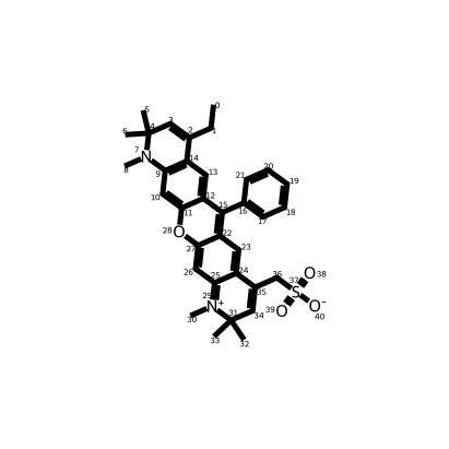 CCC1=CC(C)(C)N(C)c2cc3c(cc21)C(c1ccccc1)=c1cc2c(cc1O3)=[N+](C)C(C)(C)C=C2CS(=O)(=O)[O-]